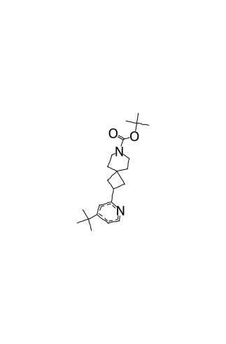 CC(C)(C)OC(=O)N1CCC2(CC1)CC(c1cc(C(C)(C)C)ccn1)C2